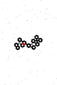 c1ccc(N(c2ccccc2-c2ccc(-c3ccc4c5ccccc5n(-c5cccc6c5-c5ccccc5C6(c5ccccc5)c5ccccc5)c4c3)cc2)c2cccc3ccccc23)cc1